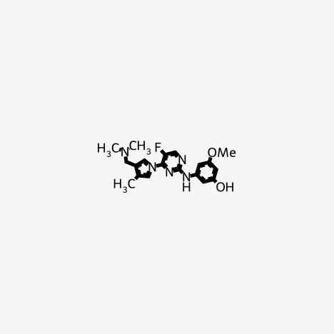 COc1cc(O)cc(Nc2ncc(F)c(-n3cc(C)c(CN(C)C)c3)n2)c1